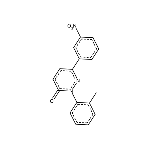 Cc1ccccc1-n1nc(-c2cccc([N+](=O)[O-])c2)ccc1=O